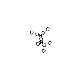 c1ccc(-c2ccc(N(c3ccc(-c4ccccc4)cc3)c3ccc4c(c3)c3ccccc3n4-c3cc(-c4ccccc4)cc(-c4ccccc4)c3)cc2)cc1